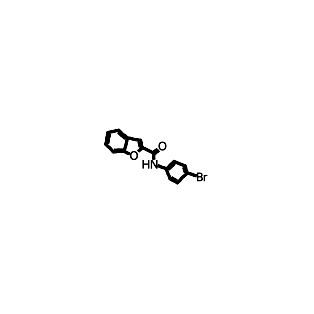 O=C(Nc1ccc(Br)cc1)c1cc2ccccc2o1